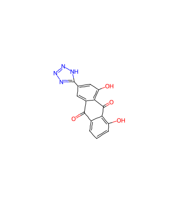 O=C1c2cccc(O)c2C(=O)c2c(O)cc(-c3nnn[nH]3)cc21